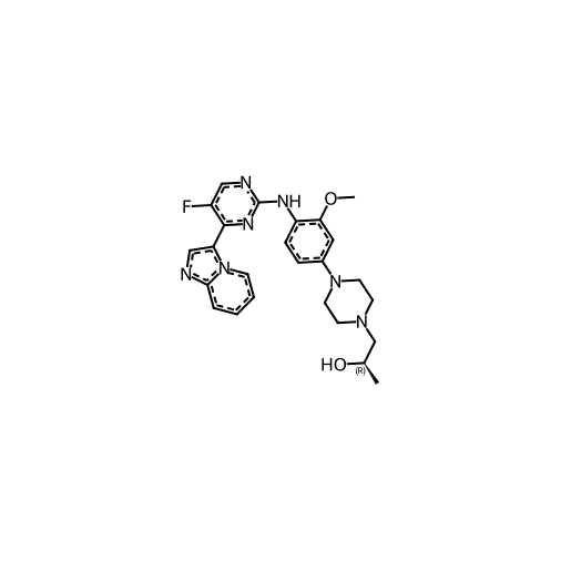 COc1cc(N2CCN(C[C@@H](C)O)CC2)ccc1Nc1ncc(F)c(-c2cnc3ccccn23)n1